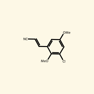 COc1cc(Cl)c(OC)c(C=CC#N)c1